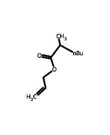 C=CCOC(=O)C(C)CCCC